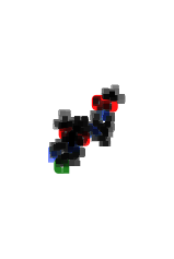 CC(C)(C)OC(=O)N1CCC2(CCCN2C[C@H]2O[C@@H](n3ccc4c(Cl)nccc43)[C@@H]3OC(C)(C)C[C@@H]32)CC1